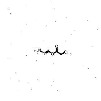 CCC(=O)OC=NN